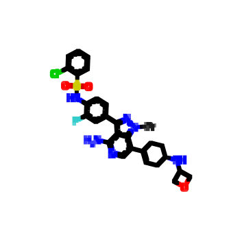 CC(C)n1nc(-c2ccc(NS(=O)(=O)c3ccccc3Cl)c(F)c2)c2c(N)ncc(C3=CC[C@H](NC4COC4)CC3)c21